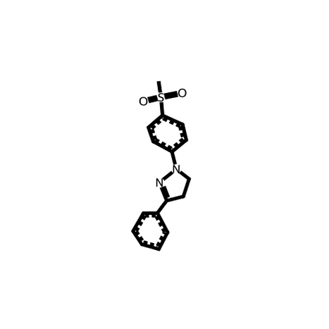 CS(=O)(=O)c1ccc(N2CCC(c3ccccc3)=N2)cc1